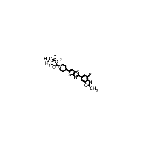 Cc1nc2c(F)cc(-c3nc4sc(C5CCN(C(=O)OC(C)(C)C)CC5)cc4s3)cc2o1